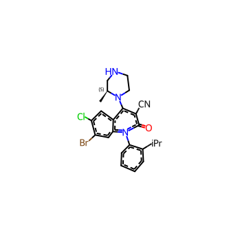 CC(C)c1ccccc1-n1c(=O)c(C#N)c(N2CCNC[C@@H]2C)c2cc(Cl)c(Br)cc21